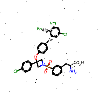 CC(=O)c1ccc(OC2(c3ccc(Cl)cc3)CN(S(=O)(=O)c3cccc(C[C@H](N)C(=O)O)c3)C2)cc1.Cl.Clc1cc[c]([Mg][Br])cc1